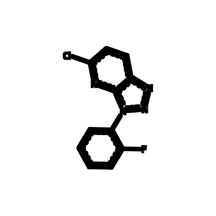 Fc1ccccc1-n1nnc2ccc(Cl)nc21